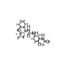 C[C@@]1(C(F)F)C[C@@H](NC(=O)Nc2ccc3c(c2)NC(=O)CO3)c2ccccc2O1